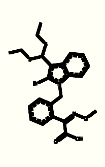 CCSC(SCC)c1c(Br)n(Cc2ccccc2C(=NOC)C(=O)O)c2ccccc12